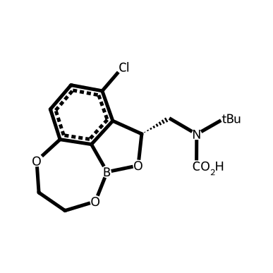 CC(C)(C)N(C[C@@H]1OB2OCCOc3ccc(Cl)c1c32)C(=O)O